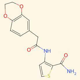 NC(=O)c1sccc1NC(=O)Cc1ccc2c(c1)OCCO2